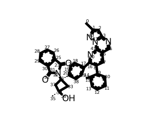 Cc1cc2ncc3cc(-c4ccccc4C)c(-c4ccc([C@]5(N6C(=O)c7ccccc7C6=O)C[C@@](C)(O)C5)cc4)nc3n2n1